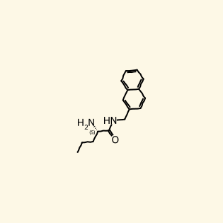 CCC[C@H](N)C(=O)NCc1ccc2ccccc2c1